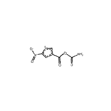 NC(=O)OC(=O)c1csc([N+](=O)[O-])c1